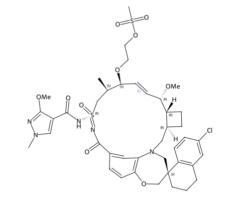 COc1nn(C)cc1C(=O)N[S@@]1(=O)=NC(=O)c2ccc3c(c2)N(C[C@@H]2CC[C@H]2[C@@H](OC)/C=C/[C@H](OCCOS(C)(=O)=O)[C@H](C)C1)C[C@@]1(CCCc2cc(Cl)ccc21)CO3